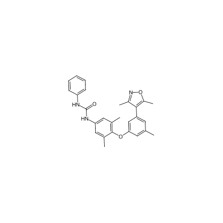 Cc1cc(Oc2c(C)cc(NC(=O)Nc3ccccc3)cc2C)cc(-c2c(C)noc2C)c1